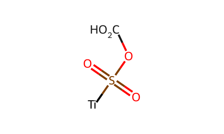 O=C(O)O[S](=O)(=O)[Ti]